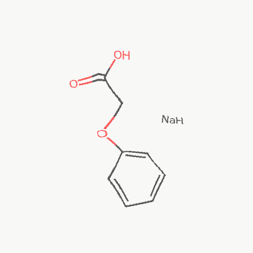 O=C(O)COc1ccccc1.[NaH]